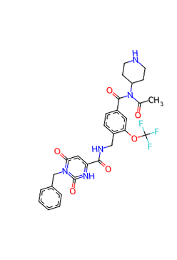 CC(=O)N(C(=O)c1ccc(CNC(=O)c2cc(=O)n(Cc3ccccc3)c(=O)[nH]2)c(OC(F)(F)F)c1)C1CCNCC1